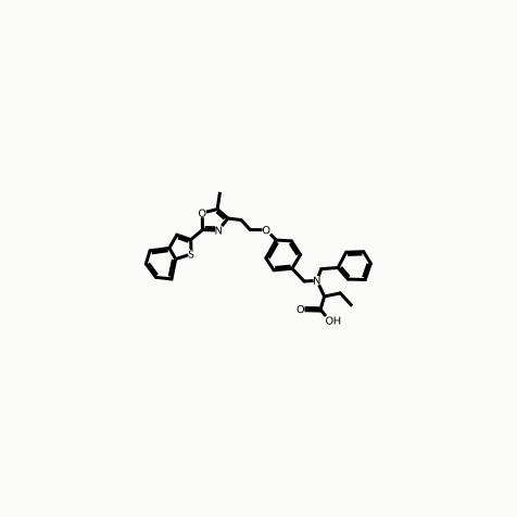 CCC(C(=O)O)N(Cc1ccccc1)Cc1ccc(OCCc2nc(-c3cc4ccccc4s3)oc2C)cc1